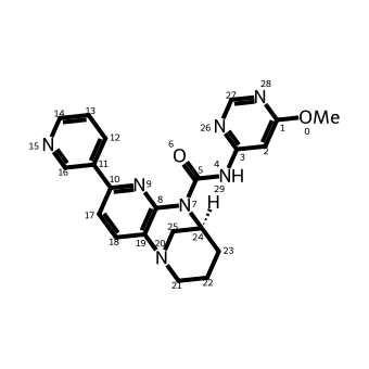 COc1cc(NC(=O)N2c3nc(-c4cccnc4)ccc3N3CCC[C@H]2C3)ncn1